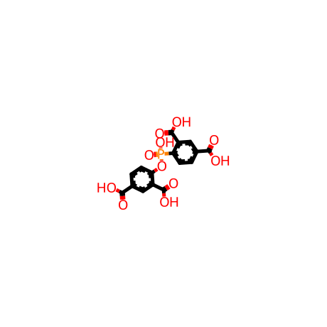 O=C(O)c1ccc(OP(=O)(O)c2ccc(C(=O)O)cc2C(=O)O)c(C(=O)O)c1